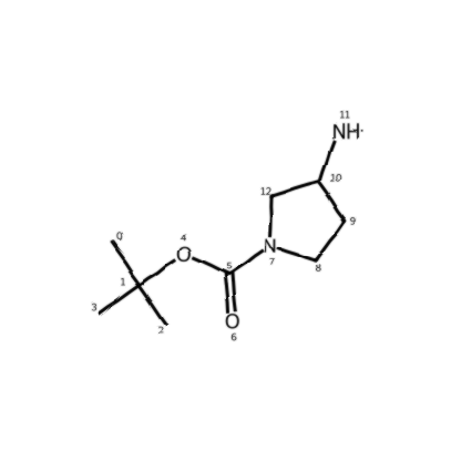 CC(C)(C)OC(=O)N1CCC([NH])C1